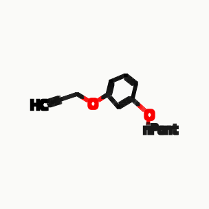 C#CCOc1cccc(OCCCCC)c1